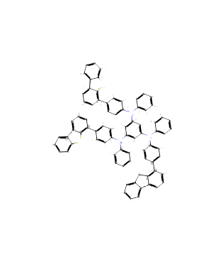 c1ccc(N(c2ccc(-c3cccc4c3Cc3ccccc3-4)cc2)c2cc(N(c3ccccc3)c3ccc(-c4cccc5c4sc4ccccc45)cc3)cc(N(c3ccccc3)c3ccc(-c4cccc5c4sc4ccccc45)cc3)c2)cc1